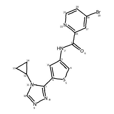 O=C(Nc1csc(-c2nncn2C2CC2)c1)c1cc(Br)ccn1